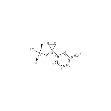 O=c1ccoc(C2(CC(F)(F)F)CC2)c1